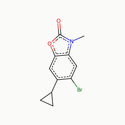 Cn1c(=O)oc2cc(C3CC3)c(Br)cc21